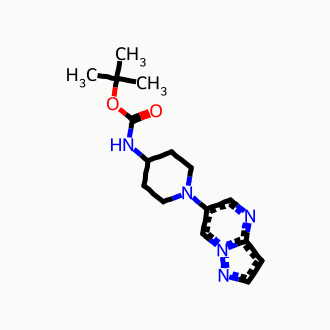 CC(C)(C)OC(=O)NC1CCN(c2cnc3ccnn3c2)CC1